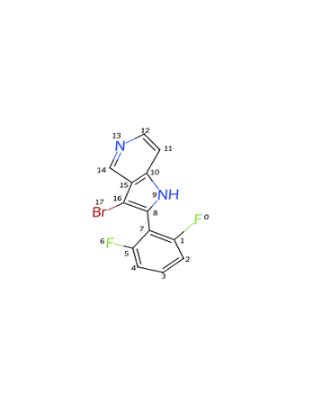 Fc1cccc(F)c1-c1[nH]c2ccncc2c1Br